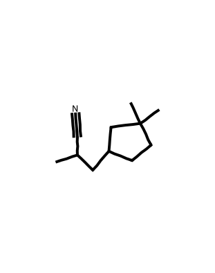 CC(C#N)CC1CCC(C)(C)C1